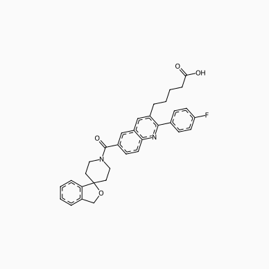 O=C(O)CCCCc1cc2cc(C(=O)N3CCC4(CC3)OCc3ccccc34)ccc2nc1-c1ccc(F)cc1